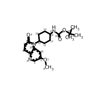 COc1cnc2ccc(=O)n(C3CCC(NC(=O)OC(C)(C)C)CC3)c2c1